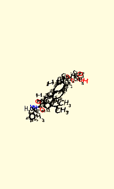 CC(C)C1=C2[C@H]3CC[C@@H]4[C@@]5(C)CC[C@H](OC(=O)CC(C)(C)C(=O)O)C(C)(C)[C@@H]5CC[C@@]4(C)[C@]3(C)CC[C@@]2(C(=O)C(=O)NC(C)(C)c2ccccc2)CC1